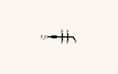 FCC(F)(F)C(F)(F)C#CC(F)(F)F